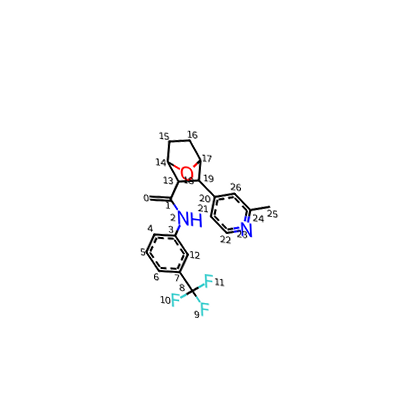 C=C(Nc1cccc(C(F)(F)F)c1)C1C2CCC(O2)C1c1ccnc(C)c1